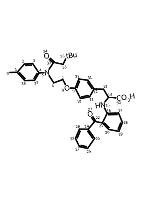 Cc1ccc(N(CCOc2ccc(C[C@H](Nc3ccccc3C(=O)c3ccccc3)C(=O)O)cc2)C(=O)CC(C)(C)C)cc1